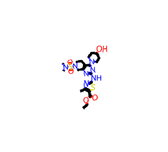 CCOC(=O)c1sc(Nc2nc3c(c(N4CCC(O)CC4)n2)CCN(S(=O)(=O)N(C)C)C3)nc1C